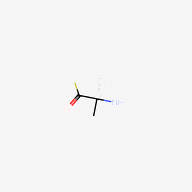 CC[C@@](C)(N)C(=O)[S]